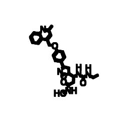 CCNC(=O)NC(CC(=O)NO)C1CC(c2ccc(OCc3cc(C)nc4ccccc34)cc2)=NO1